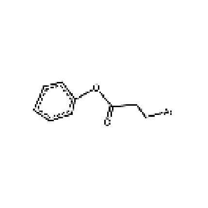 CC(=O)CCC(=O)Oc1ccccc1